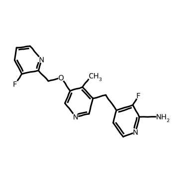 Cc1c(Cc2ccnc(N)c2F)cncc1OCc1ncccc1F